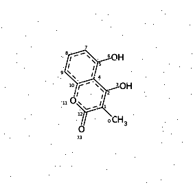 Cc1c(O)c2c(O)cccc2oc1=O